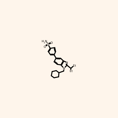 CCC(CC)c1nc2cc(-c3ccc(S(N)(=O)=O)cc3)ccc2n1CC1CCCCC1